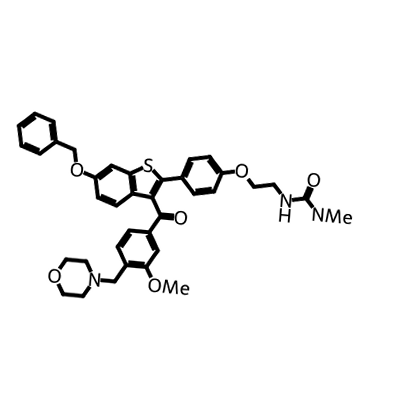 CNC(=O)NCCOc1ccc(-c2sc3cc(OCc4ccccc4)ccc3c2C(=O)c2ccc(CN3CCOCC3)c(OC)c2)cc1